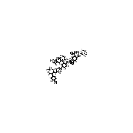 CC1(C)CCC(CN2CCN(c3ccc(C(=O)NS(=O)(=O)c4ccc(NC[C@H]5COCCO5)c([N+](=O)[O-])c4)c(N4CCCOc5nc6[nH]ccc6cc54)c3)CC2)=C(c2ccc(Cl)cc2)CC1